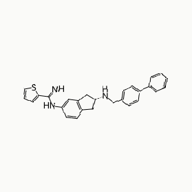 N=C(Nc1ccc2c(c1)CC(NCc1ccc(-c3ccccc3)cc1)C2)c1cccs1